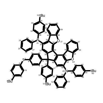 CC(C)(C)c1ccc(Sc2ccc(C3(c4ccc(C(C)(C)C)cc4)c4cc(N(c5ccccc5)c5ccc(C(C)(C)C)cc5)c5c(oc6ccccc65)c4-c4c3cc(N(c3ccccc3)c3ccc(C(C)(C)C)cc3)c3oc5ccccc5c43)cc2)cc1